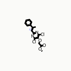 COC(=O)COc1c(Cl)nc(/C=C(\C)c2ccccc2)nc1Cl